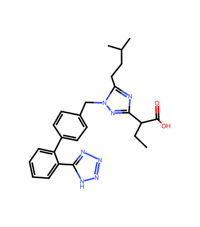 CCC(C(=O)O)c1nc(CCC(C)C)n(Cc2ccc(-c3ccccc3-c3nnn[nH]3)cc2)n1